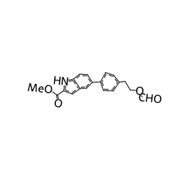 COC(=O)c1cc2cc(-c3ccc(CCOC=O)cc3)ccc2[nH]1